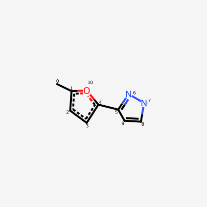 Cc1ccc(C2=N[N]C=C2)o1